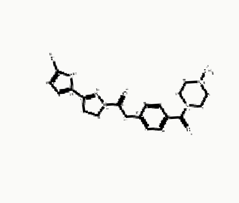 CN1CCN(C(=O)c2ccc(CC(=O)N3CCC(c4ccc(Cl)s4)=N3)cc2)CC1